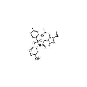 CSc1nc2ccccc2n1C[C@@H](C)Oc1cc(C)ccc1S(=O)(=O)NC(C=O)CC(=O)O